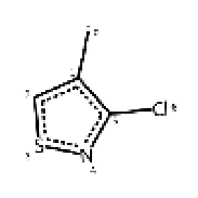 [CH2]c1csnc1Cl